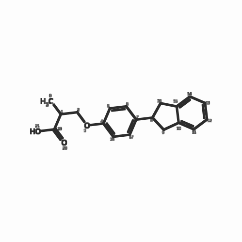 CC(COc1ccc(C2Cc3ccccc3C2)cc1)C(=O)O